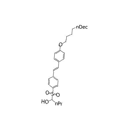 CCCCCCCCCCCCCCOc1ccc(C=Cc2ccc(S(=O)(=O)C(O)CCC)cc2)cc1